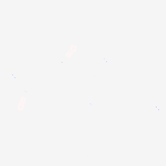 CCCn1c2c(c(Nc3ccccc3)c1-c1ccncc1)C(=O)CC(C(N)=O)C2